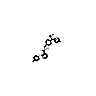 Cc1ccc(Oc2ncccc2C(=O)NCC2CCC(C(c3ccc(Cl)cc3)N(C)C)CC2)cc1